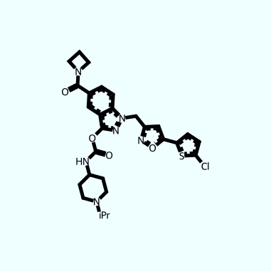 CC(C)N1CCC(NC(=O)Oc2nn(Cc3cc(-c4ccc(Cl)s4)on3)c3ccc(C(=O)N4CCC4)cc23)CC1